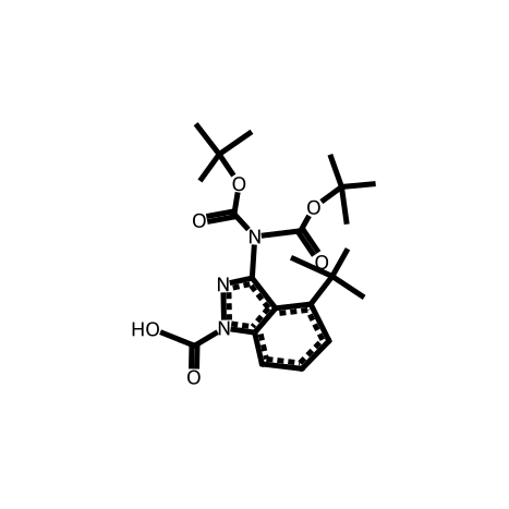 CC(C)(C)OC(=O)N(C(=O)OC(C)(C)C)c1nn(C(=O)O)c2cccc(C(C)(C)C)c12